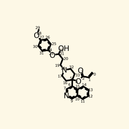 C=CC(=O)OC1(c2cncc3ccccc23)CCN(CCC(O)Oc2ccc(OC)cc2)CC1